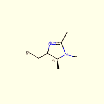 CC1=NC(CC(C)C)[C@H](C)N1C